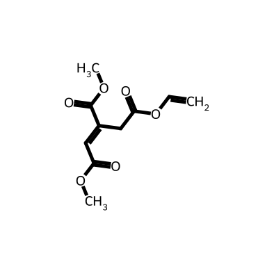 C=COC(=O)C/C(=C\C(=O)OC)C(=O)OC